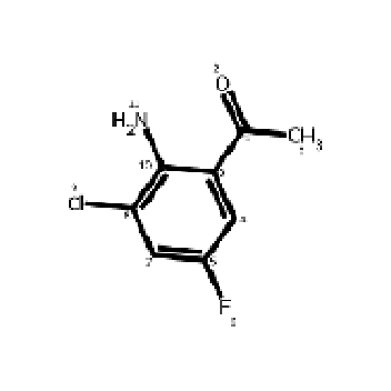 CC(=O)c1cc(F)cc(Cl)c1N